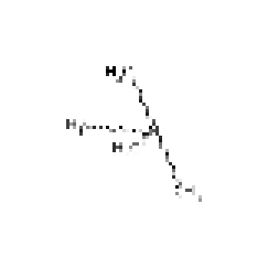 CCCCCCCCN(CCCCCCCC)[C@H](CC)CCCCCCC